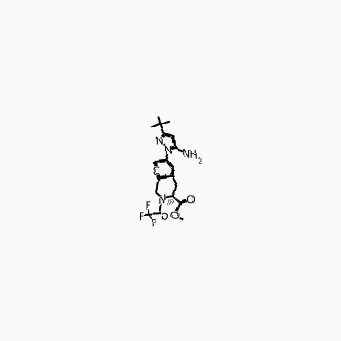 COC(=O)[C@@H]1Cc2cc(-n3nc(C(C)(C)C)cc3N)ccc2CN1C(=O)C(F)(F)F